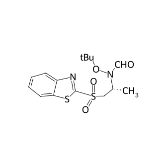 C[C@H](CS(=O)(=O)c1nc2ccccc2s1)N(C=O)OC(C)(C)C